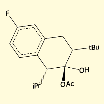 CC(=O)O[C@]1(O)C(C(C)(C)C)Cc2cc(F)ccc2[C@H]1C(C)C